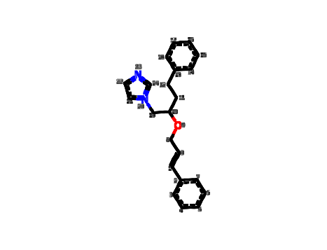 C(=C\c1ccccc1)/COC(CCc1ccccc1)Cn1ccnc1